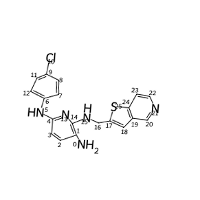 Nc1ccc(Nc2ccc(Cl)cc2)nc1NCc1cc2cnccc2s1